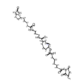 CC1(C(=O)NCCCNC(=O)CCCCC2SCC3NC(=O)NC32)C/C=C/C(OC(=O)NCCCCCC(=O)ON2C(=O)CCC2=O)CCC1